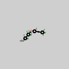 CCCCc1cc(F)c(-c2cc(F)c(C(F)(F)Oc3ccc(C#Cc4cc(F)c(F)c(F)c4)c(F)c3)c(F)c2)c(F)c1